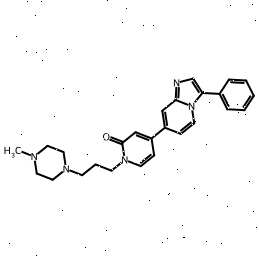 CN1CCN(CCCn2ccc(-c3ccn4c(-c5ccccc5)cnc4c3)cc2=O)CC1